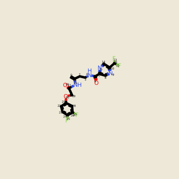 C=C(CCNC(=O)c1cnc(C(F)F)cn1)NC(=O)COc1ccc(F)c(F)c1